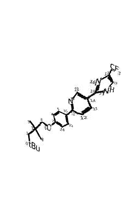 CC(C)(C)CC(C)(C)COc1ccc(-c2ccc(-c3nc(C(F)(F)F)c[nH]3)cn2)cc1